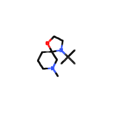 CN1CCCC2(C1)OCCN2C(C)(C)C